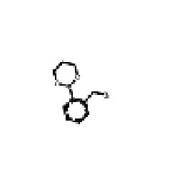 BrCc1ccccc1B1OCCCO1